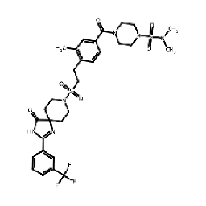 Cc1cc(C(=O)N2CCN(S(=O)(=O)N(C)C)CC2)ccc1CCS(=O)(=O)N1CCC2(CC1)N=C(c1cccc(C(F)(F)F)c1)NC2=O